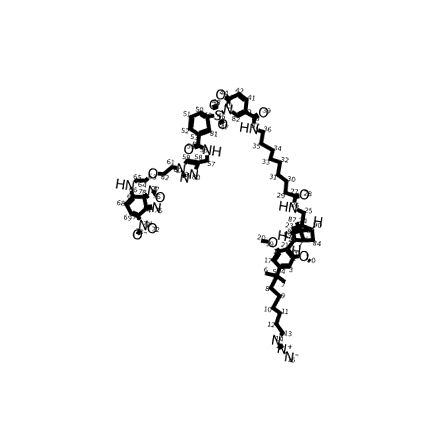 COc1cc(C(C)(C)CCCCCCN=[N+]=[N-])cc(OC)c1[C@H]1C=C(CNC(=O)CCCCCCCCNC(=O)c2ccc(=O)n(S(=O)(=O)c3cccc(C(=O)NCc4cn(CCOCCNc5ccc([N+](=O)[O-])c6nonc56)nn4)c3)c2)[C@H]2C[C@@H]1C2(C)C